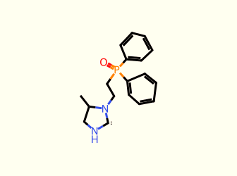 CC1CN[C]N1CCP(=O)(c1ccccc1)c1ccccc1